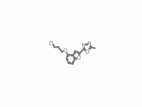 Cc1nnc(-c2cc3c(OCCCCl)cccc3o2)o1